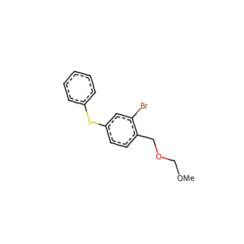 COCOCc1ccc(Sc2ccccc2)cc1Br